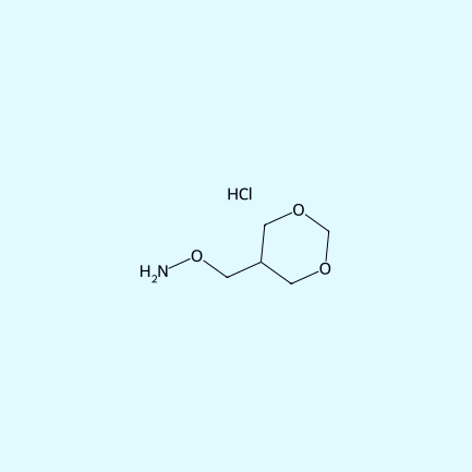 Cl.NOCC1COCOC1